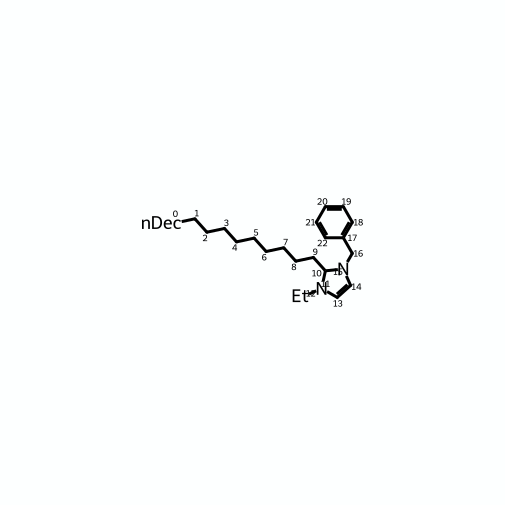 CCCCCCCCCCCCCCCCCCCC1N(CC)C=CN1Cc1ccccc1